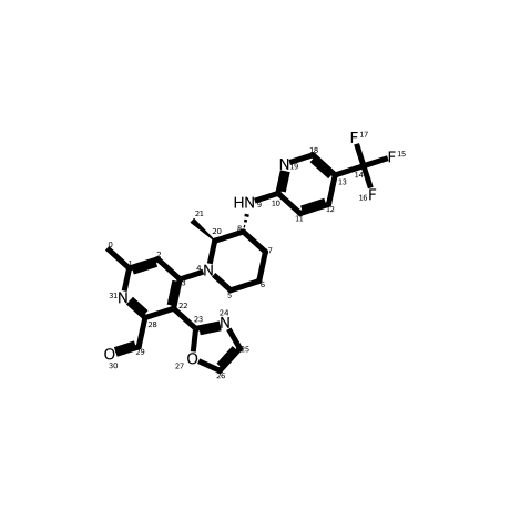 Cc1cc(N2CCC[C@@H](Nc3ccc(C(F)(F)F)cn3)[C@@H]2C)c(-c2ncco2)c(C=O)n1